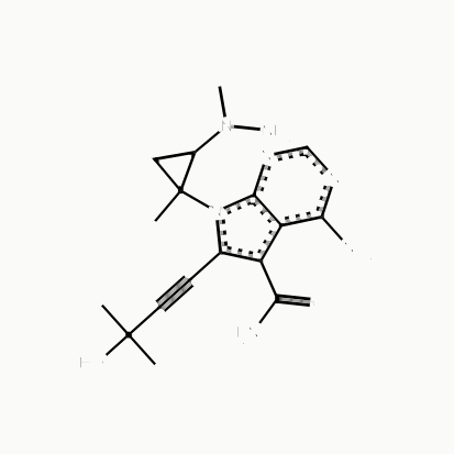 CN(N)C1CC1(C)n1c(C#CC(C)(C)O)c(C(N)=O)c2c(N)ncnc21